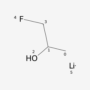 CC(O)CF.[Li]